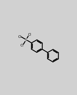 ClS(Cl)(Cl)c1ccc(-c2ccccc2)cc1